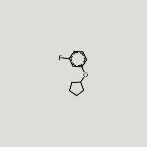 Fc1cccc(OC2CCCC2)c1